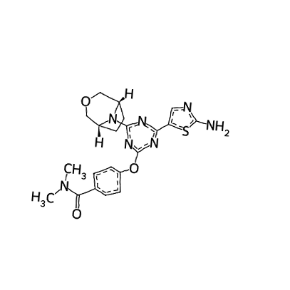 CN(C)C(=O)c1ccc(Oc2nc(-c3cnc(N)s3)nc(N3[C@@H]4CC[C@H]3COC4)n2)cc1